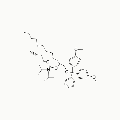 CCCCCCCCCCC(COC(c1ccccc1)(c1ccc(OC)cc1)c1ccc(OC)cc1)OP(OCCC#N)N(C(C)C)C(C)C